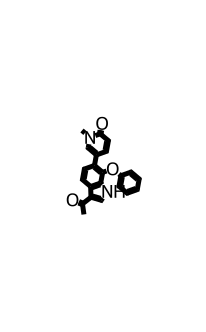 CC(=O)c1c[nH]c2c(Oc3ccccc3)c(-c3ccc(=O)n(C)c3)ccc12